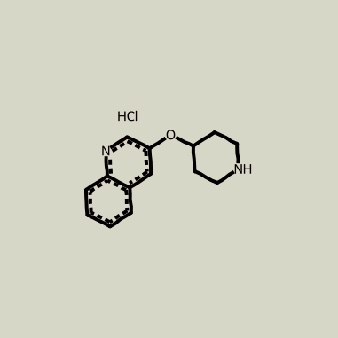 Cl.c1ccc2ncc(OC3CCNCC3)cc2c1